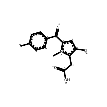 Cc1ccc(C(=S)c2cc(Cl)c(CC(=O)O)n2C)cc1